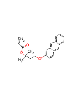 C=CC(=O)OC(C)(C)CCOc1ccc2cc3ccccc3cc2c1